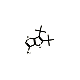 CC(C)(C)c1sc2c(Br)csc2c1C(C)(C)C